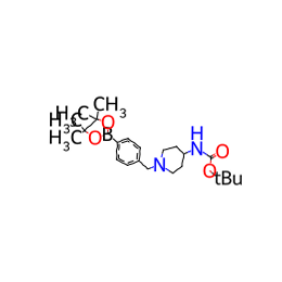 CC(C)(C)OC(=O)NC1CCN(Cc2ccc(B3OC(C)(C)C(C)(C)O3)cc2)CC1